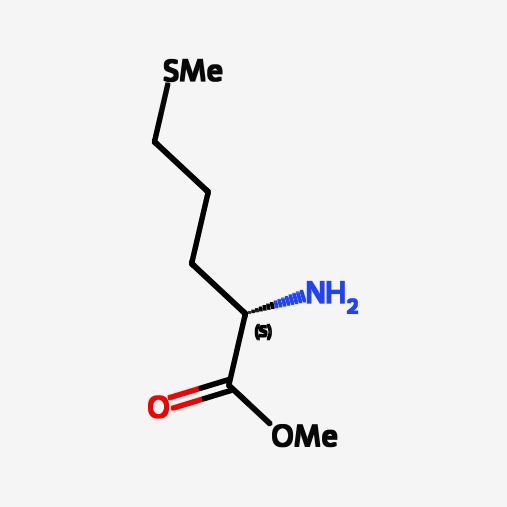 COC(=O)[C@@H](N)CCCSC